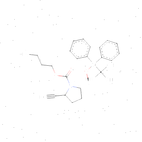 C#CC1CC[C@@H](CO[Si](c2ccccc2)(c2ccccc2)C(C)(C)C)N1C(=O)OCCCC